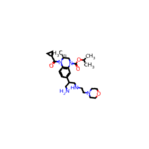 CC(C)OC(=O)N1C[C@H](C)N(C(=O)C2CC2)c2ccc(C(CN)CNCCN3CCOCC3)cc21